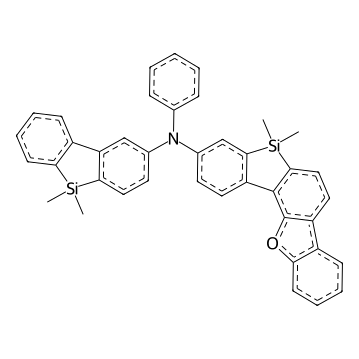 C[Si]1(C)c2ccccc2-c2cc(N(c3ccccc3)c3ccc4c(c3)[Si](C)(C)c3ccc5c(oc6ccccc65)c3-4)ccc21